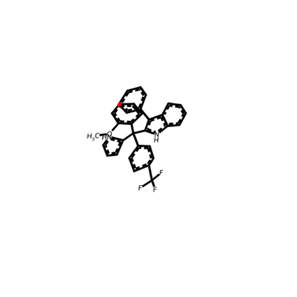 COc1ccccc1C(c1ccc(C(F)(F)F)cc1)(c1ccc[nH]1)c1[nH]c2ccccc2c1-c1ccccc1